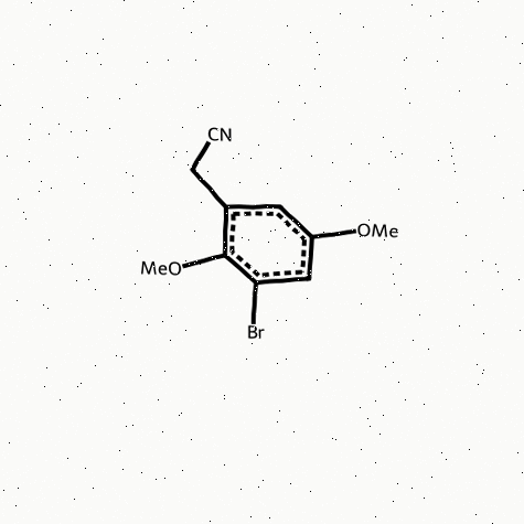 COc1cc(Br)c(OC)c(CC#N)c1